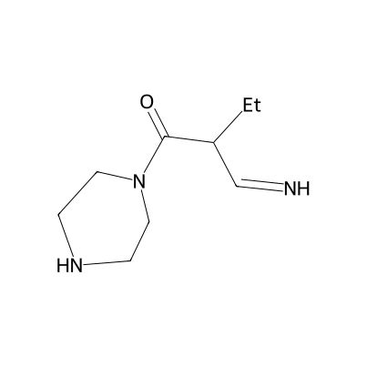 CCC(C=N)C(=O)N1CCNCC1